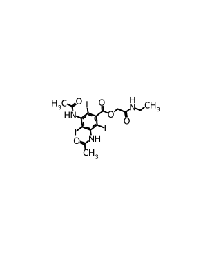 CCNC(=O)COC(=O)c1c(I)c(NC(C)=O)c(I)c(NC(C)=O)c1I